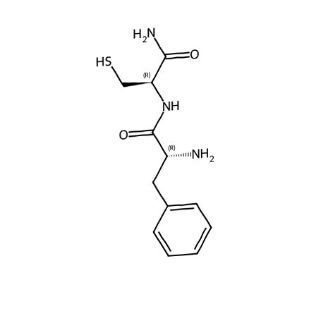 NC(=O)[C@H](CS)NC(=O)[C@H](N)Cc1ccccc1